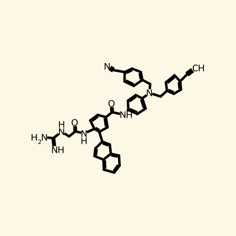 C#Cc1ccc(CN(Cc2ccc(C#N)cc2)c2ccc(NC(=O)c3ccc(NC(=O)CNC(=N)N)c(-c4ccc5ccccc5c4)c3)cc2)cc1